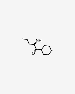 CCCC(=N)C(=O)C1CC[CH]CC1